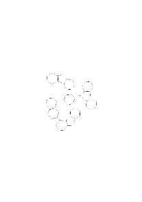 c1ccc2c(-c3ccc(-n4c5c(-c6ccc7c(c6)oc6ccccc67)cccc5c5cccc(-c6ccc7c(c6)oc6ccccc67)c54)cc3)cccc2c1